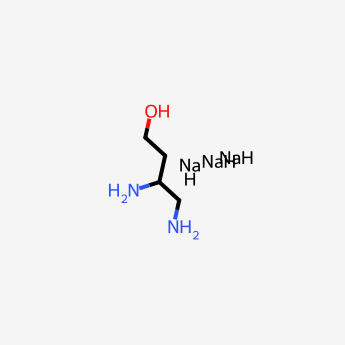 NCC(N)CCO.[NaH].[NaH].[NaH]